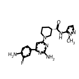 Cn1nccc1NC(=O)[C@H]1CCCN(c2cc(-c3ccc(N)c(F)c3)nc(N)n2)C1